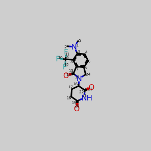 CN(C)c1ccc2c(c1C(F)(F)F)C(=O)N(C1CCC(=O)NC1=O)C2